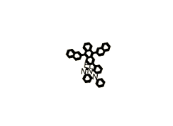 CCc1nc2cccc3c2n1-c1c(-c2ccc4c(-c5ccc6ccccc6c5)c5ccccc5c(-c5ccc6ccccc6c5)c4c2)cccc1N3c1ccccc1